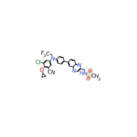 CS(=O)(=O)NCc1cnc2cc(-c3ccc(N(CC(F)(F)F)c4cc(Cl)c(OC5CC5)c(C#N)c4)cc3)ccc2n1